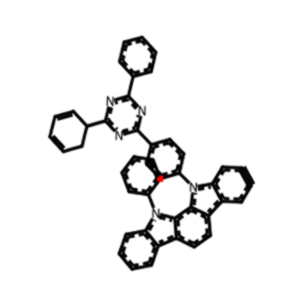 c1cc2c3ccc4c5ccccc5n(-c5ccccc5)c4c3n(-c3ccc(-c4nc(-c5ccccc5)nc(C5C=CC=CC5)n4)cc3)c2cc#1